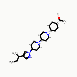 CCC(C)c1cnn(C2CCN(C3CCN([C@H]4CC[C@@H](C(C)=O)CC4)CC3)CC2)c1